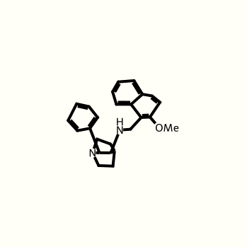 COc1ccc2ccccc2c1CNC1C2CCN(CC2)C1c1ccccc1